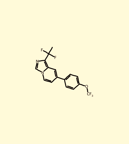 CC(F)(F)c1ncn2ccc(-c3ccc(OC(F)(F)F)cc3)cc12